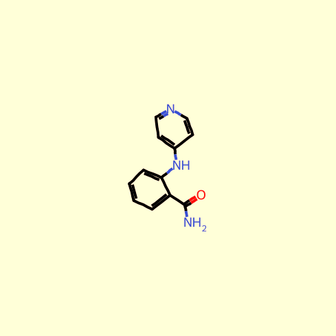 NC(=O)c1ccccc1Nc1ccncc1